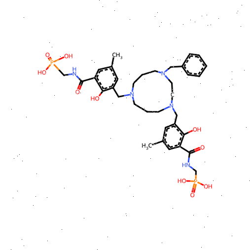 Cc1cc(CN2CCCN(Cc3ccccc3)CCN(Cc3cc(C)cc(C(=O)NCP(=O)(O)O)c3O)CCC2)c(O)c(C(=O)NCP(=O)(O)O)c1